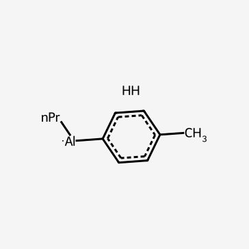 CC[CH2][Al][c]1ccc(C)cc1.[HH]